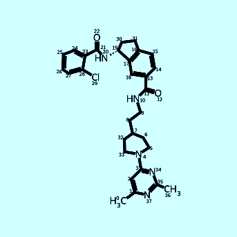 Cc1cc(N2CCC(CCNC(=O)c3ccc4c(c3)[C@H](NC(=O)c3ccccc3Cl)CC4)CC2)nc(C)n1